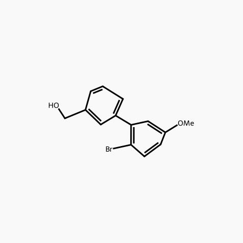 COc1ccc(Br)c(-c2cccc(CO)c2)c1